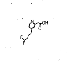 O=C(O)Cc1cc(CCCC(F)F)ccn1